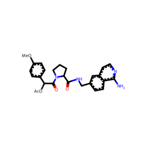 COc1ccc(C(OC(C)=O)C(=O)N2CCCC2C(=O)NCc2ccc3c(N)nccc3c2)cc1